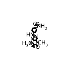 CN1C(=O)C2(CC2)N(C)c2nc(Nc3ccc([S+](N)[O-])cc3)ncc21